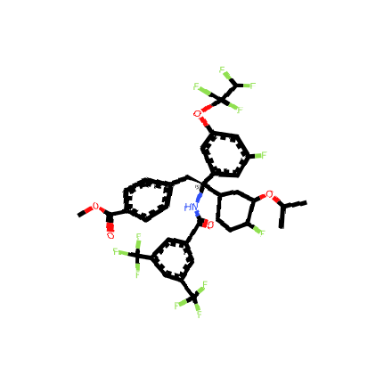 COC(=O)c1ccc(C[C@@](NC(=O)c2cc(C(F)(F)F)cc(C(F)(F)F)c2)(c2cc(F)cc(OC(F)(F)C(F)F)c2)C2CCC(F)C(OC(C)C)C2)cc1